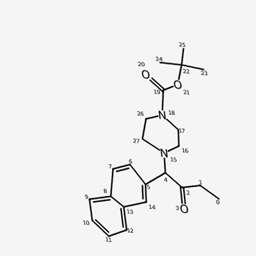 CCC(=O)C(c1ccc2ccccc2c1)N1CCN(C(=O)OC(C)(C)C)CC1